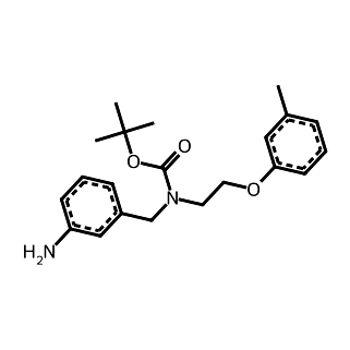 Cc1cccc(OCCN(Cc2cccc(N)c2)C(=O)OC(C)(C)C)c1